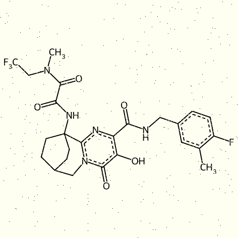 Cc1cc(CNC(=O)c2nc3n(c(=O)c2O)CC2CCC3(NC(=O)C(=O)N(C)CC(F)(F)F)CC2)ccc1F